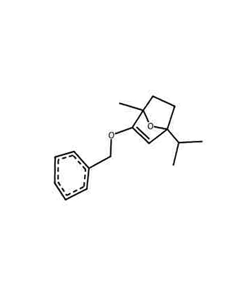 CC(C)C12C=C(OCc3ccccc3)C(C)(CC1)O2